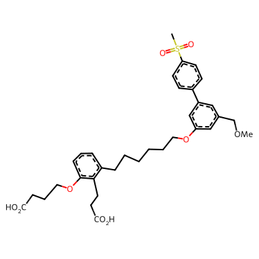 COCc1cc(OCCCCCCc2cccc(OCCCC(=O)O)c2CCC(=O)O)cc(-c2ccc(S(C)(=O)=O)cc2)c1